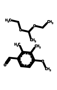 CCOC(C)OCC.COc1ccc(C=O)c(C)c1C